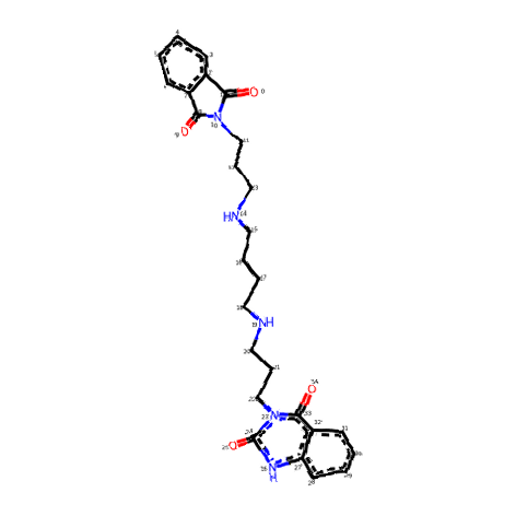 O=C1c2ccccc2C(=O)N1CCCNCCCCNCCCn1c(=O)[nH]c2ccccc2c1=O